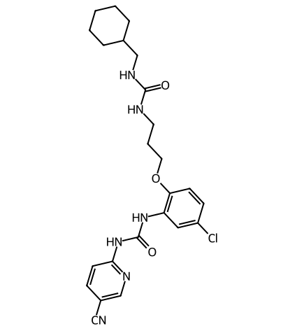 N#Cc1ccc(NC(=O)Nc2cc(Cl)ccc2OCCCNC(=O)NCC2CCCCC2)nc1